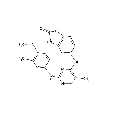 Cc1cnc(Nc2ccc(OC(F)(F)F)c(C(F)(F)F)c2)nc1Nc1ccc2oc(=O)[nH]c2c1